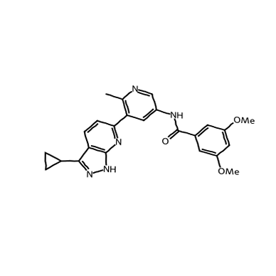 COc1cc(OC)cc(C(=O)Nc2cnc(C)c(-c3ccc4c(C5CC5)n[nH]c4n3)c2)c1